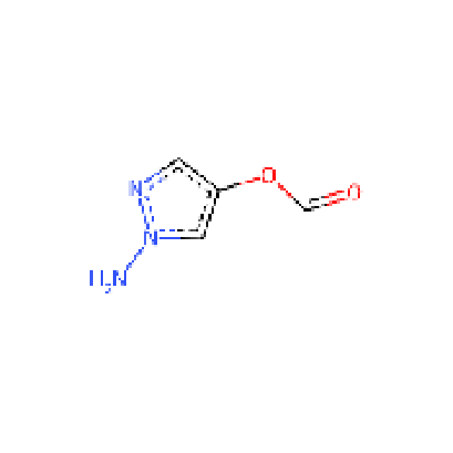 Nn1cc(OC=O)cn1